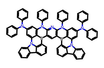 c1ccc(N(c2ccccc2)c2cc3c4c(c2)-n2c5ccccc5c5cccc(c52)B4c2cc4c(nc2N3c2ccccc2)N(c2ccccc2)c2cc(N(c3ccccc3)c3ccccc3)cc3c2B4c2cccc4c5ccccc5n-3c24)cc1